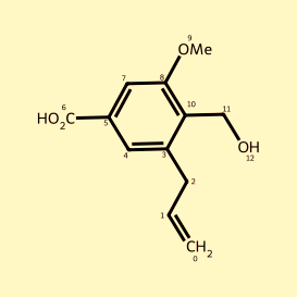 C=CCc1cc(C(=O)O)cc(OC)c1CO